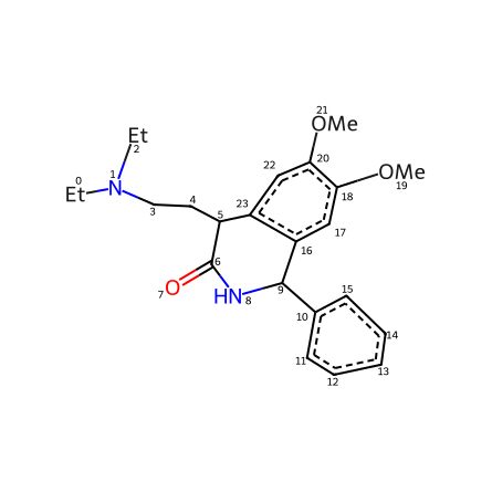 CCN(CC)CCC1C(=O)NC(c2ccccc2)c2cc(OC)c(OC)cc21